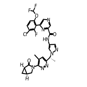 Cc1cc([C@@H](C)n2cc(NC(=O)c3cncc(-c4c(OC(F)F)ccc(Cl)c4F)n3)cn2)nnc1N1C[C@H]2C[C@H]2C1=O